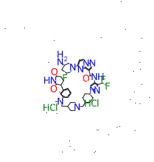 CN(CC1CCN(CC2CCC(n3cc(NC(=O)c4cnn5ccc(N6C[C@H](N)C[C@@H](F)C6)nc45)c(C(F)F)n3)CC2)CC1)c1cccc(C2CCC(=O)NC2=O)c1.Cl.Cl